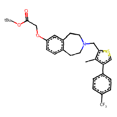 Cc1c(-c2ccc(C(F)(F)F)cc2)csc1CN1CCc2ccc(OCC(=O)OC(C)(C)C)cc2CC1